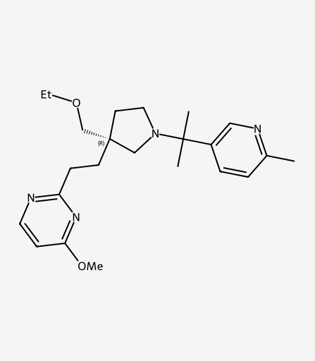 CCOC[C@]1(CCc2nccc(OC)n2)CCN(C(C)(C)c2ccc(C)nc2)C1